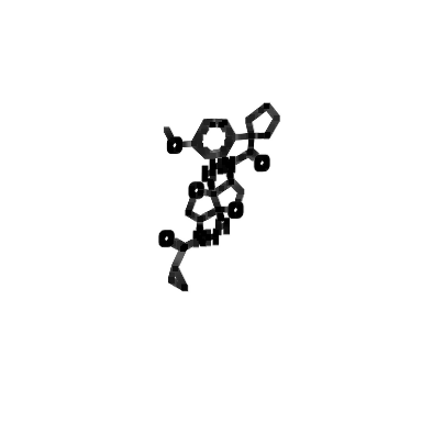 COc1ccc(C2(C(=O)N[C@H]3CO[C@H]4[C@@H]3OC[C@@H]4NC(=O)C3CC3)CCCC2)cc1